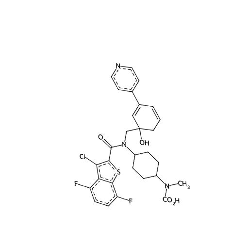 CN(C(=O)O)C1CCC(N(CC2(O)C=C(c3ccncc3)C=CC2)C(=O)c2sc3c(F)ccc(F)c3c2Cl)CC1